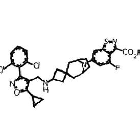 O=C(O)c1nsc2cc(N3C4CCC3CC3(CC(NCc5c(-c6c(Cl)cccc6Cl)noc5C5CC5)C3)C4)cc(F)c12